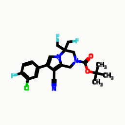 CC(C)(C)OC(=O)N1Cc2c(C#N)c(-c3ccc(F)c(Cl)c3)cn2C(CF)(CF)C1